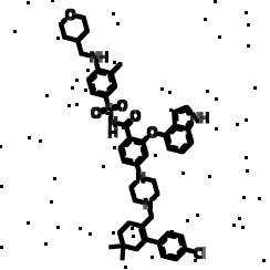 Cc1cc(S(=O)(=O)NC(=O)c2ccc(N3CCN(CC4=C(c5ccc(Cl)cc5)CC(C)(C)CC4)CC3)cc2Oc2cccc3[nH]ccc23)ccc1NCC1CCOCC1